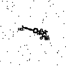 CSC(C)(C)[C@H](NC(=O)c1ccc(C#CC#CC(C)O)cc1)C(=O)NO